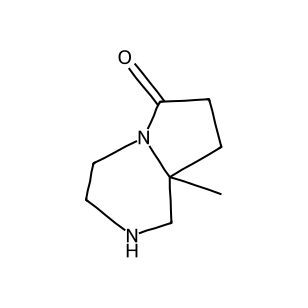 CC12CCC(=O)N1CCNC2